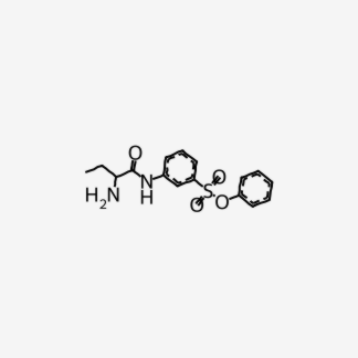 CCC(N)C(=O)Nc1cccc(S(=O)(=O)Oc2ccccc2)c1